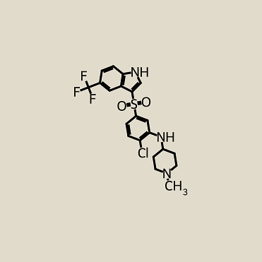 CN1CCC(Nc2cc(S(=O)(=O)c3c[nH]c4ccc(C(F)(F)F)cc34)ccc2Cl)CC1